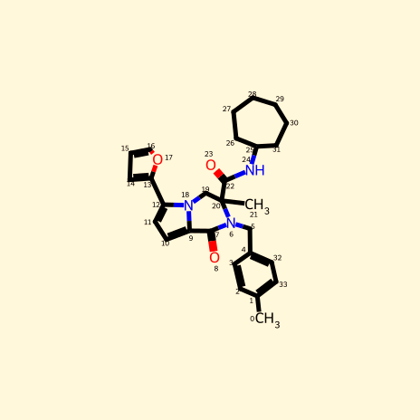 Cc1ccc(CN2C(=O)c3ccc(-c4ccco4)n3CC2(C)C(=O)NC2CCCCCC2)cc1